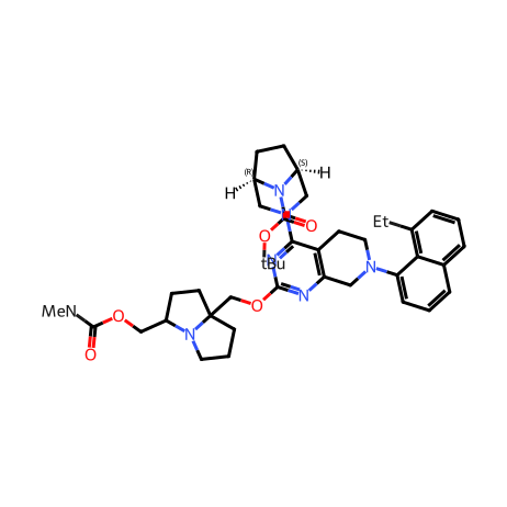 CCc1cccc2cccc(N3CCc4c(nc(OCC56CCCN5C(COC(=O)NC)CC6)nc4N4C[C@H]5CC[C@@H](C4)N5C(=O)OC(C)(C)C)C3)c12